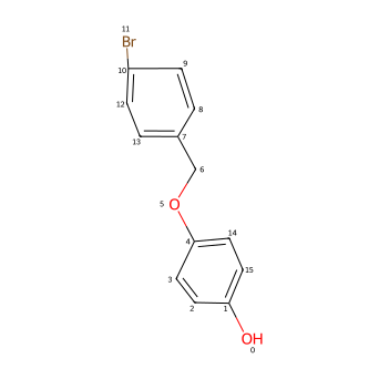 Oc1ccc(OCc2ccc(Br)cc2)cc1